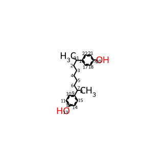 CC(CCCCCC(C)c1ccc(O)cc1)c1ccc(O)cc1